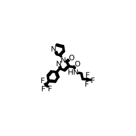 O=C(NCCC(F)(F)F)c1cc(-c2ccc(C(F)(F)F)cc2)nn(-c2cccnc2)c1=O